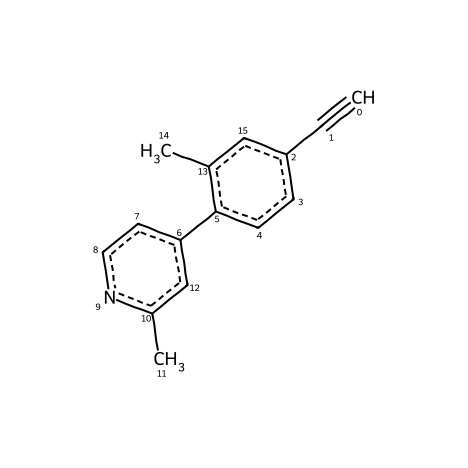 C#Cc1ccc(-c2ccnc(C)c2)c(C)c1